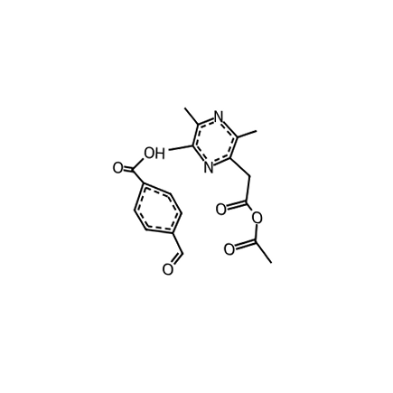 CC(=O)OC(=O)Cc1nc(C)c(C)nc1C.O=Cc1ccc(C(=O)O)cc1